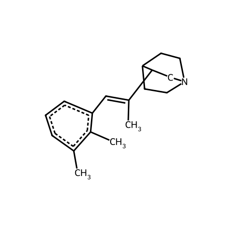 C/C(=C\c1cccc(C)c1C)C1CN2CCC1CC2